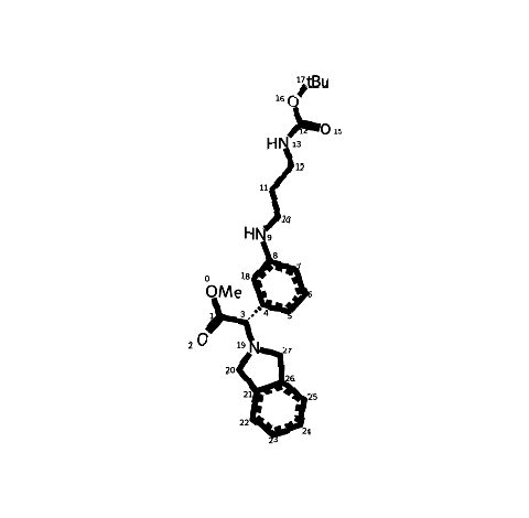 COC(=O)[C@H](c1cccc(NCCCNC(=O)OC(C)(C)C)c1)N1Cc2ccccc2C1